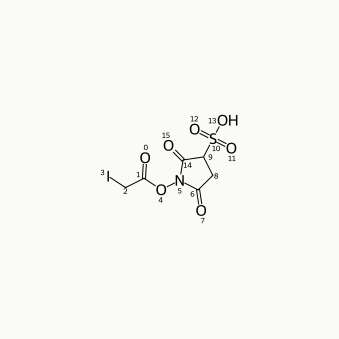 O=C(CI)ON1C(=O)CC(S(=O)(=O)O)C1=O